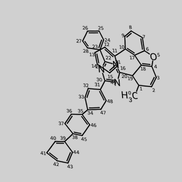 CC1C=Cc2oc3cccc(-c4ccccc4)c3c2C1c1nc(-c2ccccc2)nc(-c2ccc(-c3ccc(-c4ccccc4)cc3)cc2)n1